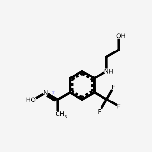 C/C(=N\O)c1ccc(NCCO)c(C(F)(F)F)c1